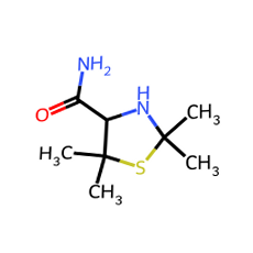 CC1(C)NC(C(N)=O)C(C)(C)S1